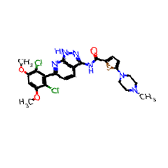 COc1cc(OC)c(Cl)c(-c2ccc3c(NC(=O)c4ccc(N5CCN(C)CC5)s4)n[nH]c3n2)c1Cl